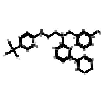 FC(F)(F)c1ccc(NCCN(Cc2cccc(Br)c2)c2nccc(C3=CC[CH]C=C3)n2)nc1